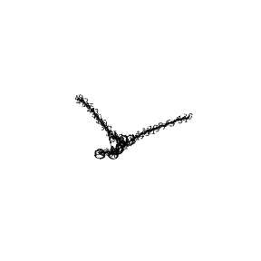 CCCCCCCCCCCCCCCCCCOC[C@H](COONC(=O)CCC=O)OCCCCCCCCCCCCCCCCCC